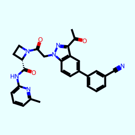 CC(=O)c1nn(CC(=O)N2CC[C@H]2C(=O)Nc2cccc(C)n2)c2ccc(-c3cccc(C#N)c3)cc12